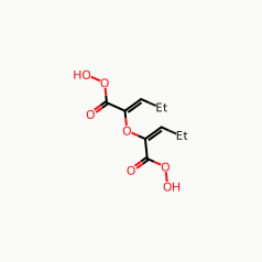 CCC=C(OC(=CCC)C(=O)OO)C(=O)OO